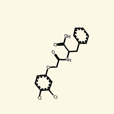 O=C(COc1ccc(Cl)c(Cl)c1)NC(Cc1ccccc1)C(=O)O